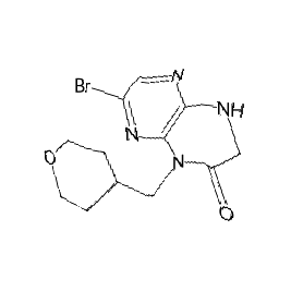 O=C1CNc2ncc(Br)nc2N1CC1CCOCC1